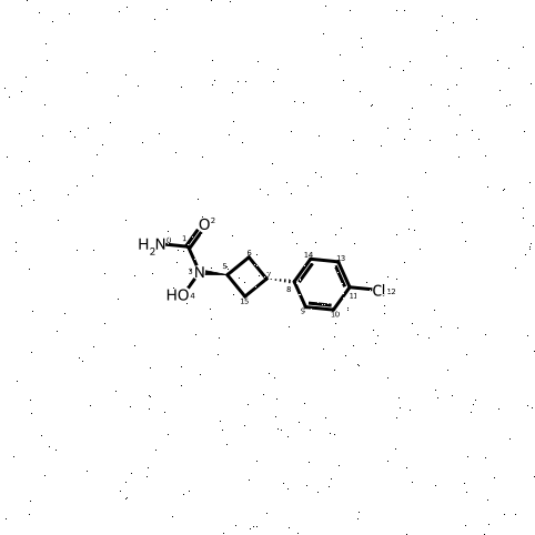 NC(=O)N(O)[C@H]1C[C@H](c2ccc(Cl)cc2)C1